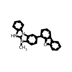 CN1c2ccc(-c3cccc4c3oc3ccccc34)cc2N2c3ccccc3NC12